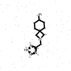 CC(C)C1CCC2(CC1)CN(Cc1nn[nH]n1)C2